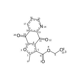 Cc1oc2c(c1C(=O)OCC(F)(F)F)C(=O)c1ncccc1C2=O